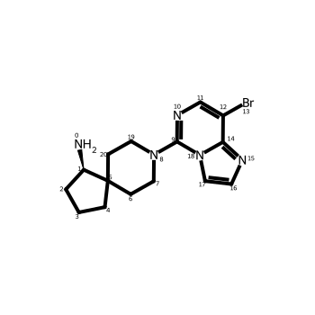 N[C@@H]1CCCC12CCN(c1ncc(Br)c3nccn13)CC2